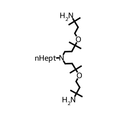 CCCCCCCN(CCC(C)(C)OCCC(C)(C)N)CCC(C)(C)OCCC(C)(C)N